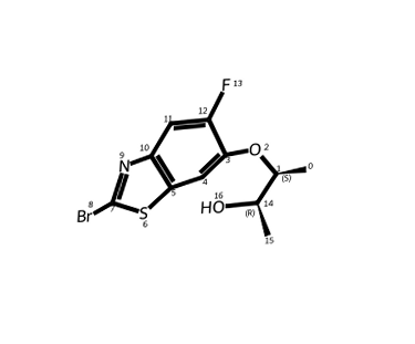 C[C@H](Oc1cc2sc(Br)nc2cc1F)[C@@H](C)O